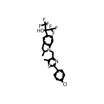 Cc1sc(-c2ccc(Cl)cc2)nc1CN1c2ccc(C(O)(C(F)(F)F)C(F)(F)F)cc2CC1C